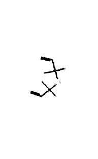 C=CC(C)(CC)NC(C)(C=C)CC